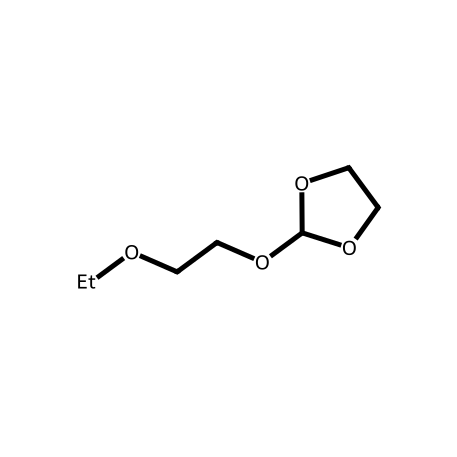 CCOCCOC1OCCO1